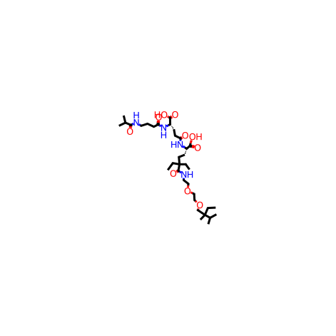 CCC(CC)(CC[C@H](NC(=O)CC[C@H](NC(=O)CCCNC(=O)C(C)C)C(=O)O)C(=O)O)C(=O)NCCOCCOCC(C)(CC)C(C)C